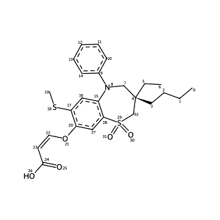 CCCC[C@]1(CC)CN(c2ccccc2)c2cc(SC)c(O/C=C\C(=O)O)cc2S(=O)(=O)C1